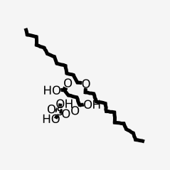 CCCCCCCCCCCCOCCCCCCCCCCCC.O=C(O)CCC(=O)O.O=S(=O)(O)O